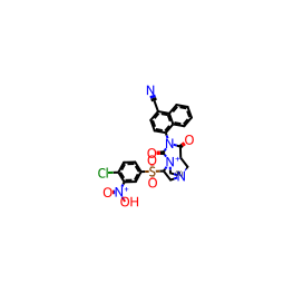 N#Cc1ccc(N2C(=O)C3C[N@@]4CC(S(=O)(=O)c5ccc(Cl)c([N+](=O)O)c5)[N+]3(C4)C2=O)c2ccccc12